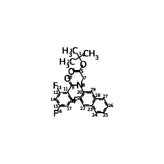 CC(C)(C)OC(=O)CN(C(=O)c1c(F)cc(F)cc1F)c1ccc2ccccc2c1